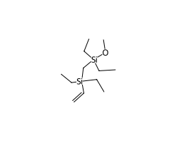 C=C[Si](CC)(CC)C[Si](CC)(CC)OC